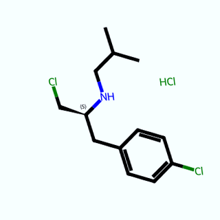 CC(C)CN[C@H](CCl)Cc1ccc(Cl)cc1.Cl